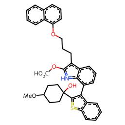 COC1CCC(O)(c2sc3ccccc3c2-c2cccc3c(CCCOc4cccc5ccccc45)c(OC(=O)O)[nH]c23)CC1